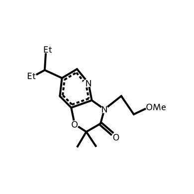 CCC(CC)c1cnc2c(c1)OC(C)(C)C(=O)N2CCOC